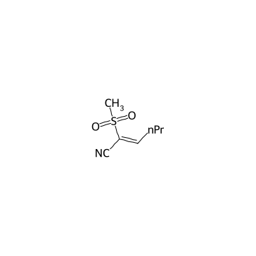 CCC/C=C(/C#N)S(C)(=O)=O